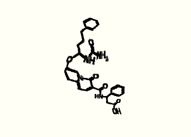 NC(=O)NC(CCCc1ccccc1)Oc1ccc2ccc(C(=O)NC(CC(=O)O)c3ccccc3)c(=O)n2c1